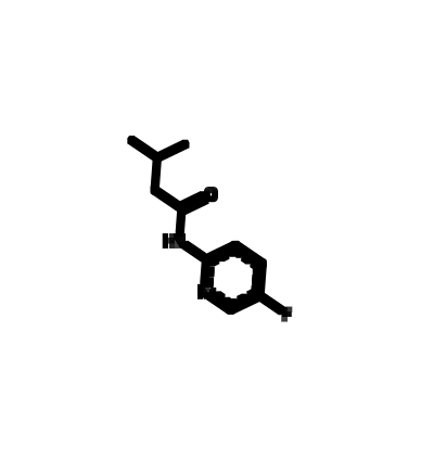 CC(C)CC(=O)Nc1ccc(F)cn1